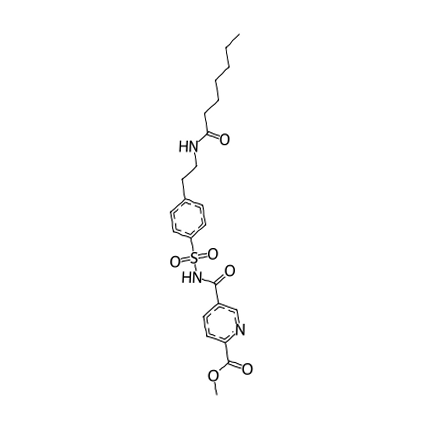 CCCCCCC(=O)NCCc1ccc(S(=O)(=O)NC(=O)c2ccc(C(=O)OC)nc2)cc1